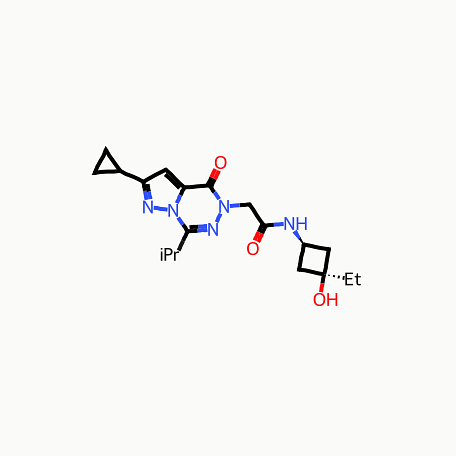 CC[C@]1(O)C[C@@H](NC(=O)Cn2nc(C(C)C)n3nc(C4CC4)cc3c2=O)C1